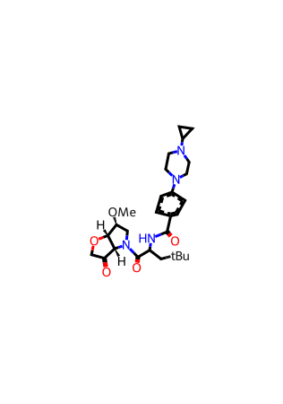 CO[C@H]1CN(C(=O)C(CC(C)(C)C)NC(=O)c2ccc(N3CCN(C4CC4)CC3)cc2)[C@@H]2C(=O)CO[C@H]12